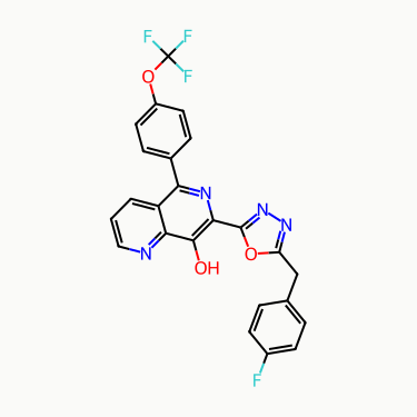 Oc1c(-c2nnc(Cc3ccc(F)cc3)o2)nc(-c2ccc(OC(F)(F)F)cc2)c2cccnc12